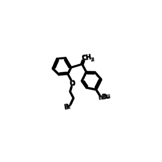 C=C(c1ccc(CCCC)cc1)c1ccccc1OCCBr